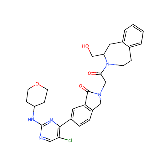 O=C1c2cc(-c3nc(NC4CCOCC4)ncc3Cl)ccc2CN1CC(=O)N1CCc2ccccc2CC1CO